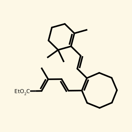 CCOC(=O)C=C(C)C=CC1=C(C=CC2=C(C)CCCC2(C)C)CCCCCC1